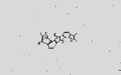 Cc1sc2c(ccc3c2sc2c4ccc5c(C)c(C)sc5c4sc32)c1C